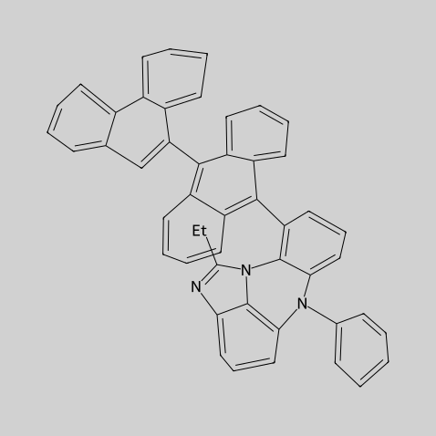 CCc1nc2cccc3c2n1-c1c(-c2c4ccccc4c(-c4cc5ccccc5c5ccccc45)c4ccccc24)cccc1N3c1ccccc1